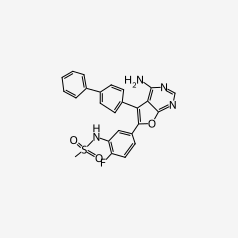 CS(=O)(=O)Nc1cc(-c2oc3ncnc(N)c3c2-c2ccc(-c3ccccc3)cc2)ccc1F